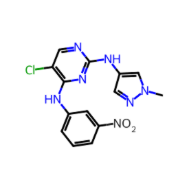 Cn1cc(Nc2ncc(Cl)c(Nc3cccc([N+](=O)[O-])c3)n2)cn1